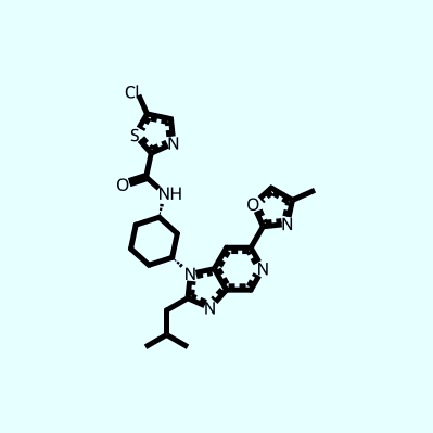 Cc1coc(-c2cc3c(cn2)nc(CC(C)C)n3[C@@H]2CCC[C@H](NC(=O)c3ncc(Cl)s3)C2)n1